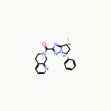 O=C(c1nc2n(n1)[C@@H](c1ccccc1)C[C@H]2F)N1CCc2cccnc2C1